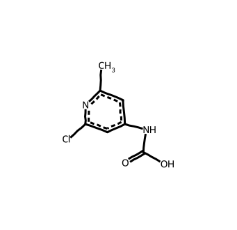 Cc1cc(NC(=O)O)cc(Cl)n1